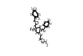 C=CC[C@@H]1CNC(COCc2ccccc2)CN1Cc1ccccc1